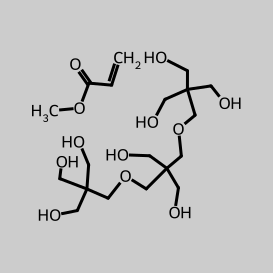 C=CC(=O)OC.OCC(CO)(CO)COCC(CO)(CO)COCC(CO)(CO)CO